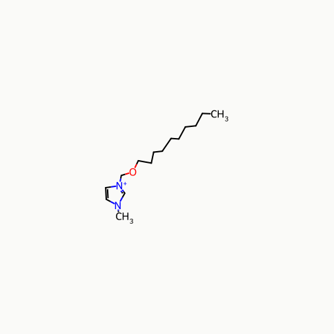 CCCCCCCCCCOC[n+]1ccn(C)c1